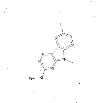 CCSc1nnc2c3cc(F)ccc3n(C)c2n1